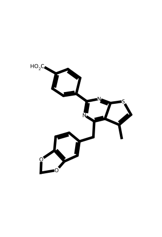 Cc1csc2nc(-c3ccc(C(=O)O)cc3)nc(Cc3ccc4c(c3)OCO4)c12